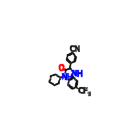 N#Cc1ccc(C(Nc2cccc(C(F)(F)F)c2)C(=O)NC2CCCCC2)cc1